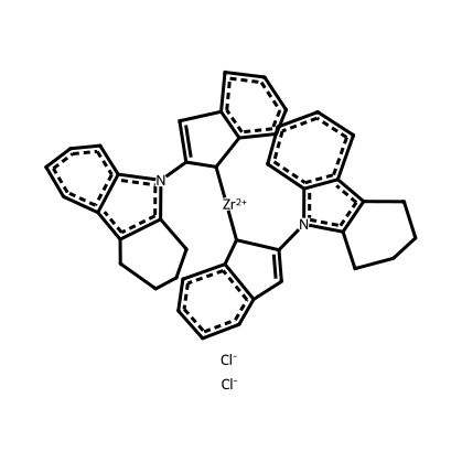 C1=C(n2c3c(c4ccccc42)CCCC3)[CH]([Zr+2][CH]2C(n3c4c(c5ccccc53)CCCC4)=Cc3ccccc32)c2ccccc21.[Cl-].[Cl-]